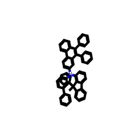 CC1(c2ccccc2)c2ccccc2-c2cccc(N(c3cccc(-c4ccccc4)c3)c3ccc4c(c3)c(-c3ccccc3)c(-c3ccccc3)c3ccccc34)c21